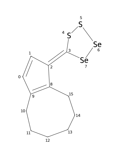 C1=CC(=C2SS[Se][Se]2)C2=C1CCCCCC2